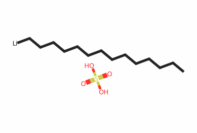 O=S(=O)(O)O.[Li][CH2]CCCCCCCCCCCCC